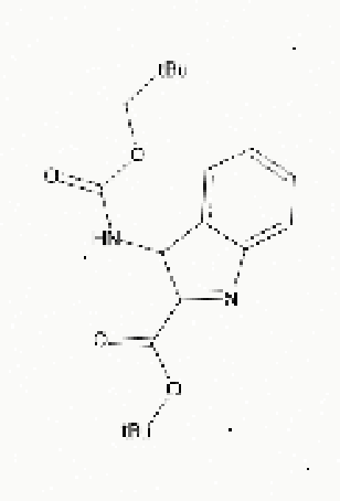 CC(C)(C)COC(=O)NC1C(C(=O)OC(C)(C)C)=Nc2ccccc21